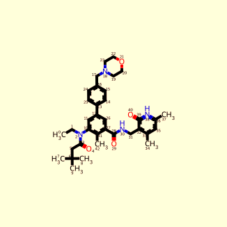 CCN(C(=O)CC(C)(C)C)c1cc(-c2ccc(CN3CCOCC3)cc2)cc(C(=O)NCc2c(C)cc(C)[nH]c2=O)c1C